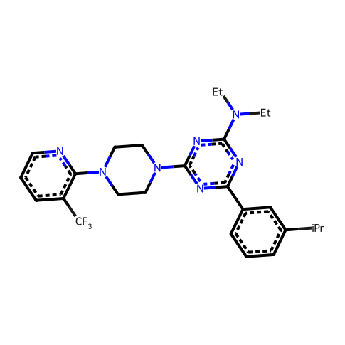 CCN(CC)c1nc(-c2cccc(C(C)C)c2)nc(N2CCN(c3ncccc3C(F)(F)F)CC2)n1